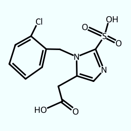 O=C(O)Cc1cnc(S(=O)(=O)O)n1Cc1ccccc1Cl